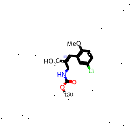 COc1ccc(Cl)cc1/C=C(\CNC(=O)OC(C)(C)C)C(=O)O